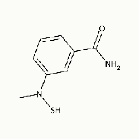 CN(S)c1cccc(C(N)=O)c1